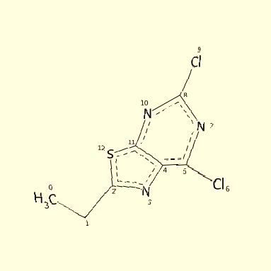 CCc1nc2c(Cl)nc(Cl)nc2s1